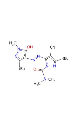 CN(C)C(=O)n1nc(C(C)(C)C)c(C#N)c1N=Nc1c(C(C)(C)C)nn(C)c1O